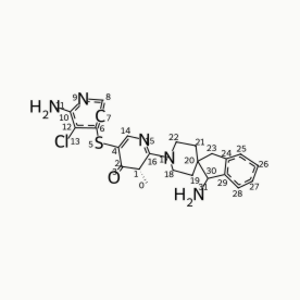 C[C@@H]1C(=O)C(Sc2ccnc(N)c2Cl)=CN=C1N1CCC2(CC1)Cc1ccccc1C2N